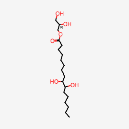 CCCCCCC(O)C(O)CCCCCCCC(=O)OC[C@H](O)CO